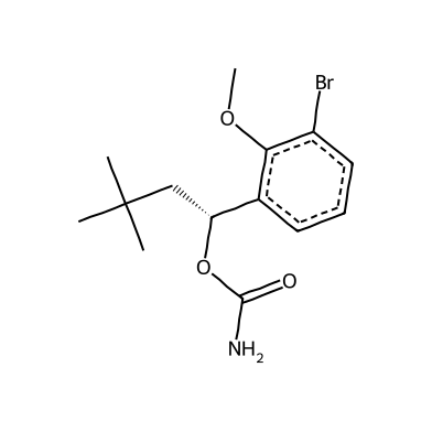 COc1c(Br)cccc1[C@@H](CC(C)(C)C)OC(N)=O